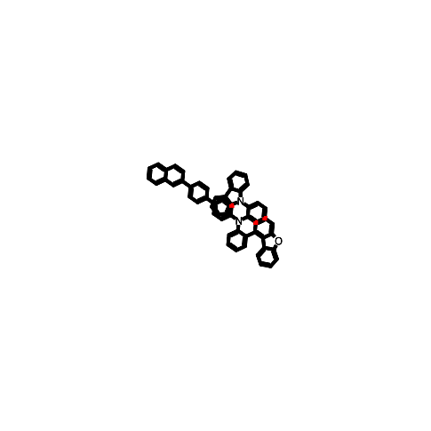 c1ccc(N(c2ccc(-c3ccc(-c4ccc5ccccc5c4)cc3)cc2)c2ccccc2-n2c3ccccc3c3ccccc32)c(-c2cccc3oc4ccccc4c23)c1